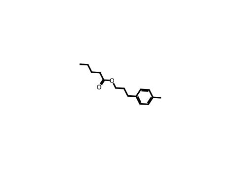 CCCCC(=O)OCCCc1ccc(C)cc1